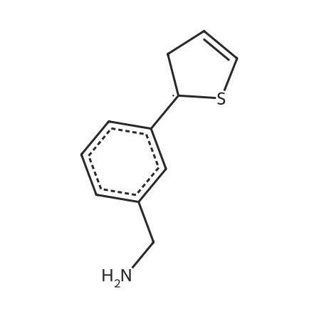 NCc1cccc([C]2CC=CS2)c1